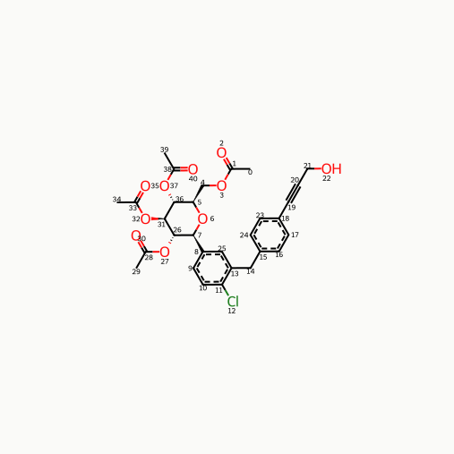 CC(=O)OC[C@H]1O[C@@H](c2ccc(Cl)c(Cc3ccc(C#CCO)cc3)c2)[C@H](OC(C)=O)[C@@H](OC(C)=O)[C@@H]1OC(C)=O